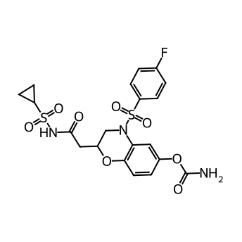 NC(=O)Oc1ccc2c(c1)N(S(=O)(=O)c1ccc(F)cc1)CC(CC(=O)NS(=O)(=O)C1CC1)O2